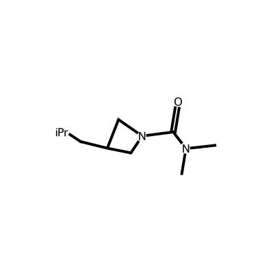 CC(C)CC1CN(C(=O)N(C)C)C1